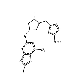 CC(=O)Nc1ncc(CN2C[C@H](Oc3cc(C(F)(F)F)c4cn(C)nc4n3)C[C@@H]2C)s1